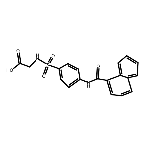 O=C(O)CNS(=O)(=O)c1ccc(NC(=O)c2cccc3ccccc23)cc1